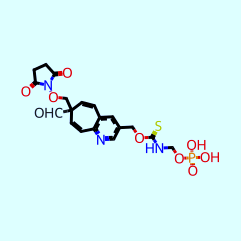 O=CC1(CON2C(=O)CCC2=O)C=Cc2cc(COC(=S)NCOP(=O)(O)O)cnc2C=C1